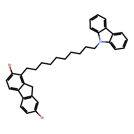 Brc1ccc2c(c1)Cc1c-2ccc(Br)c1CCCCCCCCCCn1c2ccccc2c2ccccc21